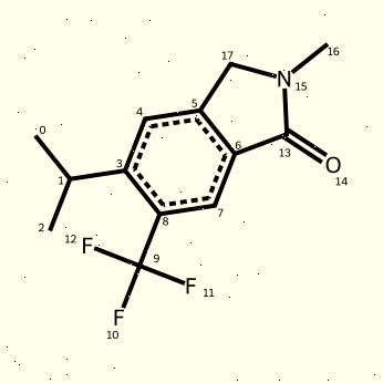 CC(C)c1cc2c(cc1C(F)(F)F)C(=O)N(C)C2